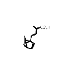 CC(CCC12C=CC(CC1C)C2)C(=O)O